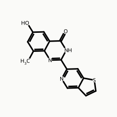 Cc1cc(O)cc2c(=O)[nH]c(-c3cc4sccc4cn3)nc12